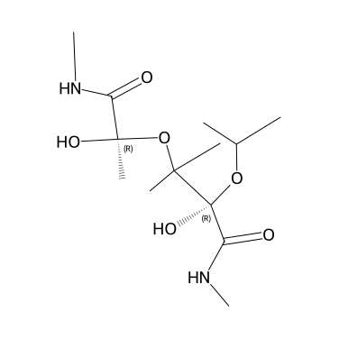 CNC(=O)[C@](O)(OC(C)C)C(C)(C)O[C@@](C)(O)C(=O)NC